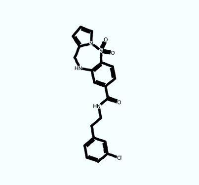 O=C(NCCc1cccc(Cl)c1)c1ccc2c(c1)NCc1cccn1S2(=O)=O